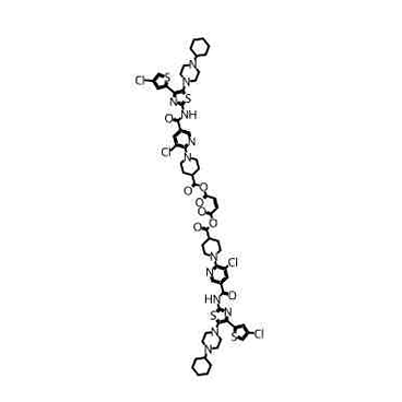 O=C(/C=C\C(=O)OC(=O)C1CCN(c2ncc(C(=O)Nc3nc(-c4cc(Cl)cs4)c(N4CCN(C5CCCCC5)CC4)s3)cc2Cl)CC1)OC(=O)C1CCN(c2ncc(C(=O)Nc3nc(-c4cc(Cl)cs4)c(N4CCN(C5CCCCC5)CC4)s3)cc2Cl)CC1